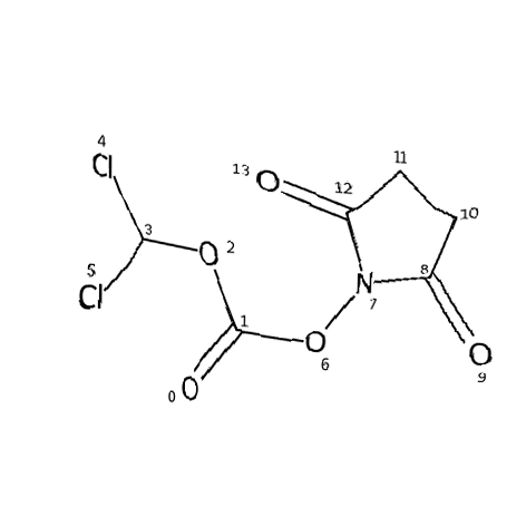 O=C(OC(Cl)Cl)ON1C(=O)CCC1=O